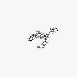 CC1CCCCC1N1CCN([C@H]2C[C@@H](CO[C@H]3CC[C@H](C(=O)O)CC3)N(C(=O)Cc3cc(Cl)c(NC(=O)c4coc5ccccc45)cc3Cl)C2)CC1